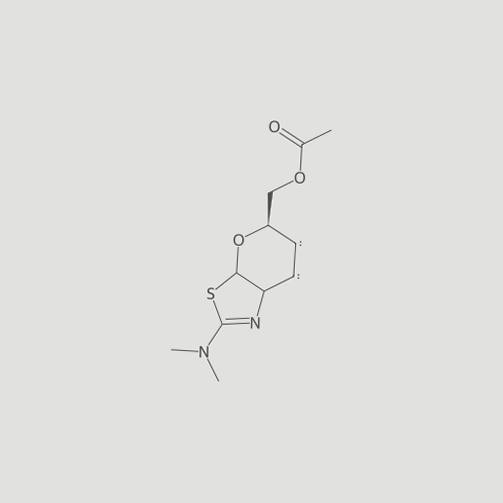 CC(=O)OC[C@H]1[C][C]C2N=C(N(C)C)SC2O1